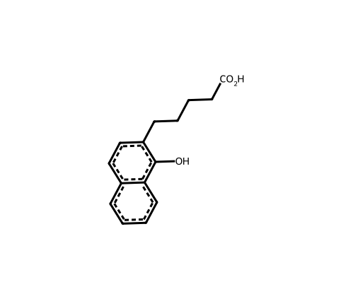 O=C(O)CCCCc1ccc2ccccc2c1O